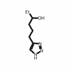 CCC(O)CCCc1c[nH]nn1